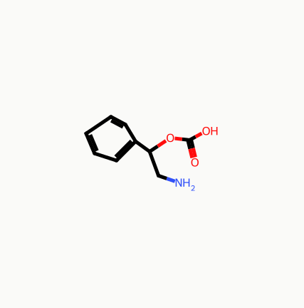 NCC(OC(=O)O)c1ccccc1